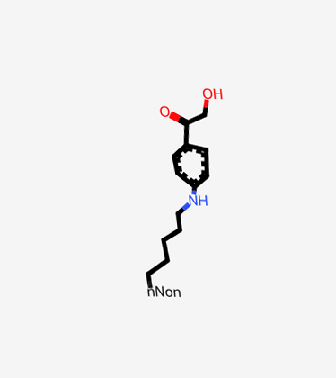 CCCCCCCCCCCCCCNc1ccc(C(=O)CO)cc1